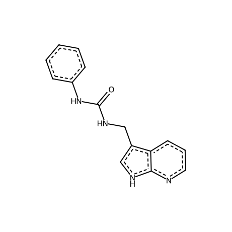 O=C(NCc1c[nH]c2ncccc12)Nc1ccccc1